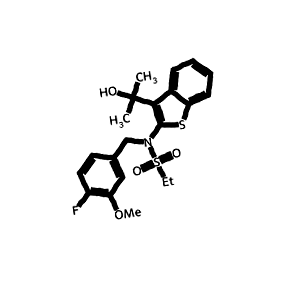 CCS(=O)(=O)N(Cc1ccc(F)c(OC)c1)c1sc2ccccc2c1C(C)(C)O